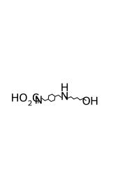 CN(CCC1CCC(CCNCCCCCCO)CC1)C(=O)O